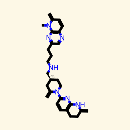 C=C1CCc2ccc(N3CC[C@H](CNCCCc4cnc5c(n4)N(C)C(=C)C=C5)CC3=C)nc2N1